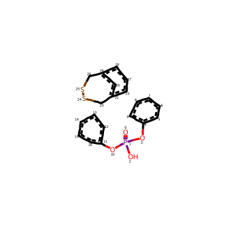 O=P(O)(Oc1ccccc1)Oc1ccccc1.c1cc2cc(c1)CSSC2